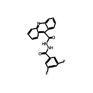 O=C(NNC(=O)c1c2ccccc2nc2ccccc12)c1cc(F)cc(F)c1